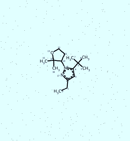 CCc1cc(C(C)(C)C)n(C2CCOC2(C)C)n1